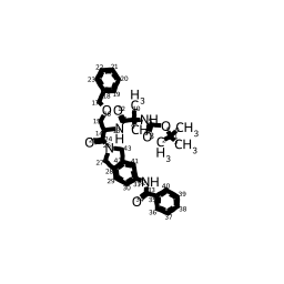 CC(C)(C)OC(=O)NC(C)(C)C(=O)NC(COCc1ccccc1)C(=O)N1Cc2ccc(NC(=O)c3ccccc3)cc2C1